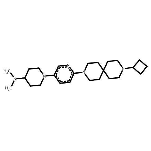 CN(C)C1CCN(c2ccc(N3CCC4(CC3)CCN(C3CCC3)CC4)nc2)CC1